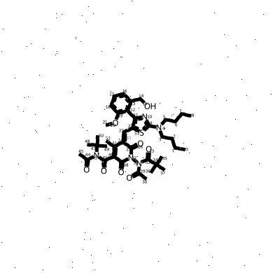 CCCCN(CCCC)c1nc(-c2c(CO)cccc2OC)c(/C=C2\C(=O)N(N(C(C)=O)C(=O)C(C)(C)C)C(=O)C(C(=O)N(C(C)=O)C(C)(C)C)=C2C)s1